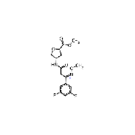 CO/N=C(\CC(=O)NC1COC(C(=O)OC)C1)c1cc(F)cc(F)c1